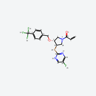 C=CC(=O)N1C[C@@H](OCc2ccc(C(F)(F)F)cc2)[C@H](Sc2ncc(F)cn2)C1